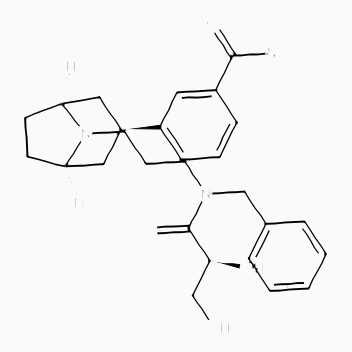 NC(=O)c1cccc([C@H]2C[C@H]3CC[C@@H](C2)N3CCCN(Cc2ccccc2)C(=O)[C@@H](O)CO)c1